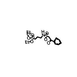 CCO[Si](CCCNS(=O)(=O)CC(=O)c1ccccc1)(OCC)OCC